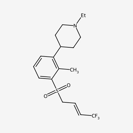 CCN1CCC(c2cccc(S(=O)(=O)CC=CC(F)(F)F)c2C)CC1